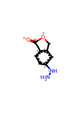 NNc1ccc2c(c1)COC2=O